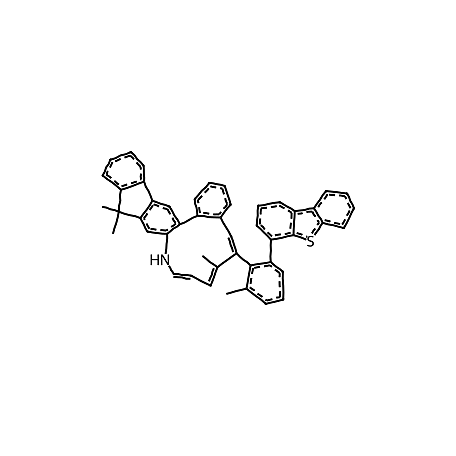 CC1=C\C=C\Nc2cc3c(cc2-c2ccccc2/C=C\1c1c(C)cccc1-c1cccc2c1sc1ccccc12)-c1ccccc1C3(C)C